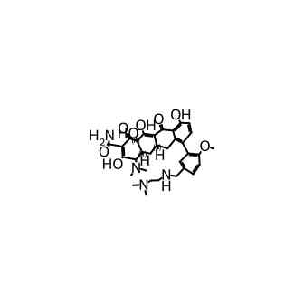 COc1ccc(CNCCN(C)C)cc1-c1ccc(O)c2c1C[C@@H]1C[C@@H]3C(N(C)C)C(O)=C(C(N)=O)C(=O)[C@]3(O)C(O)=C1C2=O